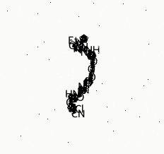 CC[C@@H]1C(=O)N(C)c2cnc(Nc3ccc(OCCOCCOC4CCN(c5ncc(C(=O)NC6C(C)(C)C(Oc7ccc(C#N)c(Cl)c7)C6(C)C)cn5)CC4)cc3)nc2N1C1CCCC1